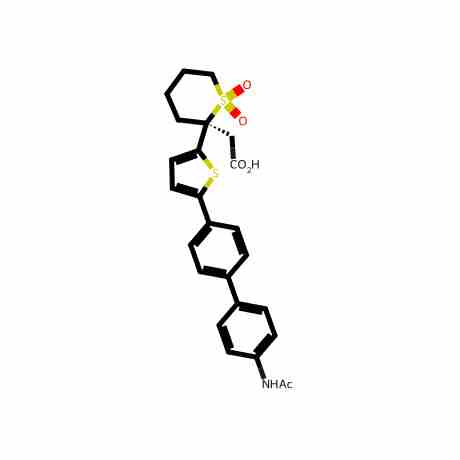 CC(=O)Nc1ccc(-c2ccc(-c3ccc([C@@]4(CC(=O)O)CCCCS4(=O)=O)s3)cc2)cc1